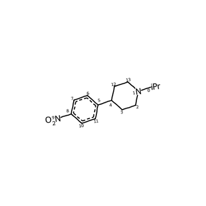 CC(C)N1CCC(c2ccc([N+](=O)[O-])cc2)CC1